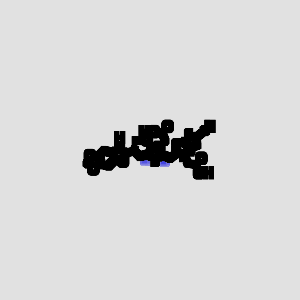 N#Cc1cc2c(s1)sc(/C=c1/s/c(=C/C(F)C3Nc4cc5c(cc4O3)OCO5)c(=O)n1CC(=O)O)[n+]2CC(=O)O